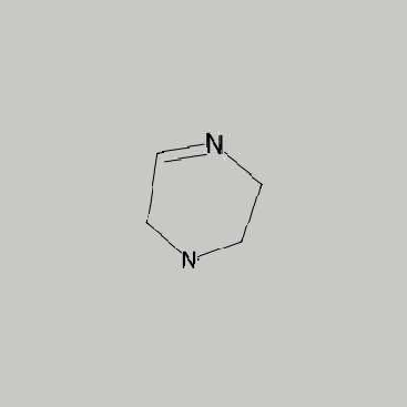 C1=NCC[N]C1